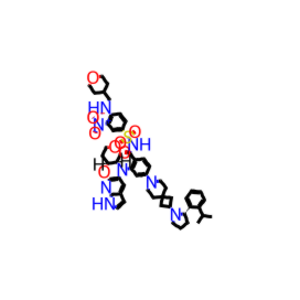 CC(C)c1ccccc1[C@@H]1CCCN1C1CC2(CCN(c3ccc(C(=O)NS(=O)(=O)c4ccc(NCC5CCOCC5)c([N+](=O)[O-])c4)c(N4c5cc6cc[nH]c6nc5O[C@H]5CCOC[C@H]54)c3)CC2)C1